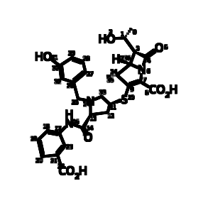 C[C@@H](O)[C@H]1C(=O)N2C(C(=O)O)=C(S[C@H]3C[C@@H](C(=O)Nc4cccc(C(=O)O)c4)N(Cc4cccc(O)c4)C3)[C@H](C)[C@H]12